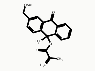 C=C(C)C(=O)OC1(C)c2ccccc2C(=O)c2cc(COC)ccc21